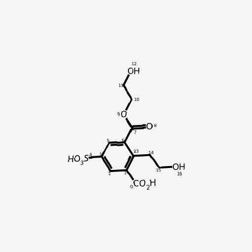 O=C(O)c1cc(S(=O)(=O)O)cc(C(=O)OCCO)c1CCO